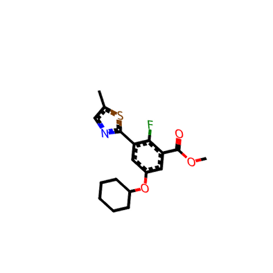 COC(=O)c1cc(OC2CCCCC2)cc(-c2ncc(C)s2)c1F